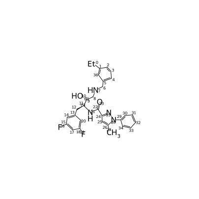 CCc1cccc(CNC[C@@H](O)[C@H](Cc2cc(F)cc(F)c2)NC(=O)c2cc(C)n(-c3ccccc3)n2)c1